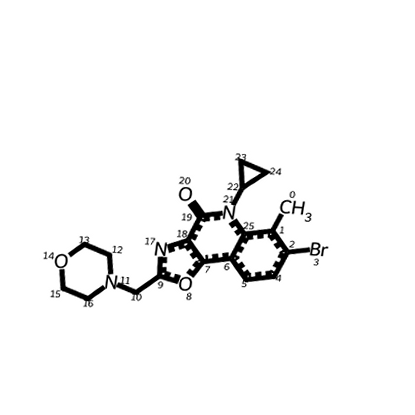 Cc1c(Br)ccc2c3oc(CN4CCOCC4)nc3c(=O)n(C3CC3)c12